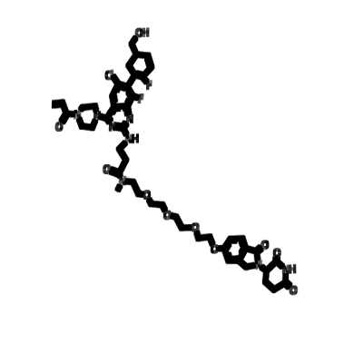 C=CC(=O)N1CCN(c2nc(NCCC(=O)N(C)CCOCCOCCOCCOc3ccc4c(c3)CN(C3CCC(=O)NC3=O)C4=O)nc3c(F)c(C4=C(F)C=CC(CO)C4)c(Cl)cc23)CC1